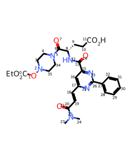 CCOC(=O)ON1CCN(C(=O)[C@H](CCC(=O)O)NC(=O)c2cc(/C=C/C(=O)N(C)C)nc(-c3ccccc3)n2)CC1